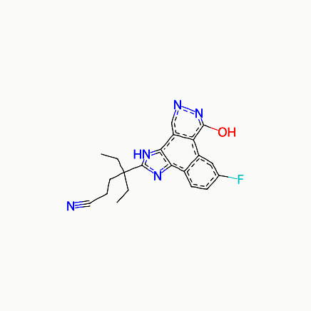 CCC(CC)(CCC#N)c1nc2c3ccc(F)cc3c3c(O)nncc3c2[nH]1